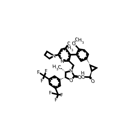 COc1ccc([C@@H]2C[C@H]2C(=O)O)cc1-c1c(C)cc(N2CCC2)nc1CN1C(=O)O[C@H](c2cc(C(F)(F)F)cc(C(F)(F)F)c2)[C@@H]1C